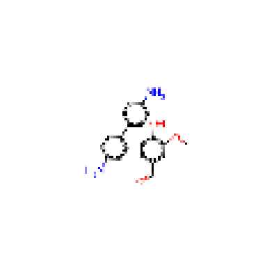 COc1cc(C=O)ccc1O.Nc1ccc(-c2ccc(N)cc2)cc1